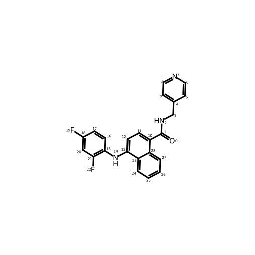 O=C(NCc1ccncc1)c1ccc(Nc2ccc(F)cc2F)c2ccccc12